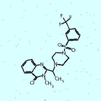 CC(c1nc2ccccc2c(=O)n1C)N1CCN(S(=O)(=O)c2cccc(C(F)(F)F)c2)CC1